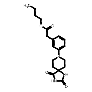 CCCCOC(=O)Cc1cccc(N2CCC3(CC2)NC(=O)NC3=O)c1